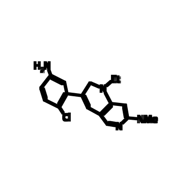 CCN1CC(c2cc(N)ccc2Cl)=Cc2cnc(NC)cc21